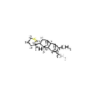 CC1C(C)C2CC1C1C3CC(C21)C(C1(C)CCCS1)C3